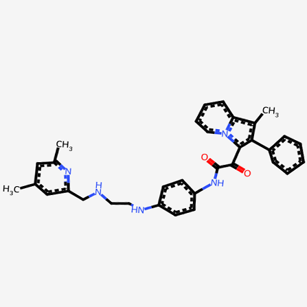 Cc1cc(C)nc(CNCCNc2ccc(NC(=O)C(=O)c3c(-c4ccccc4)c(C)c4ccccn34)cc2)c1